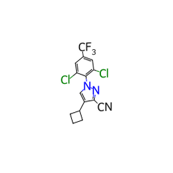 N#Cc1nn(-c2c(Cl)cc(C(F)(F)F)cc2Cl)cc1C1CCC1